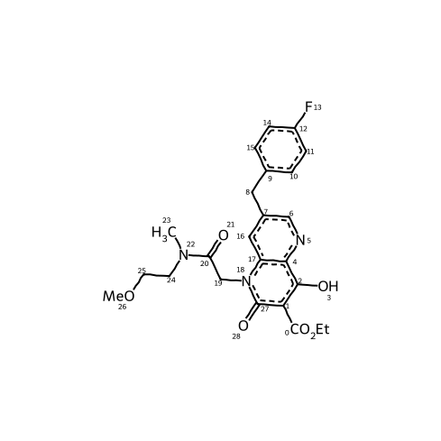 CCOC(=O)c1c(O)c2ncc(Cc3ccc(F)cc3)cc2n(CC(=O)N(C)CCOC)c1=O